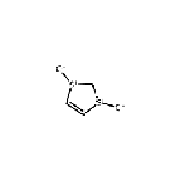 [O-][S+]1C=C[S+]([O-])C1